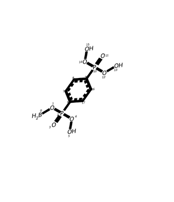 BOP(=O)(OO)c1ccc(P(=O)(OO)OO)cc1